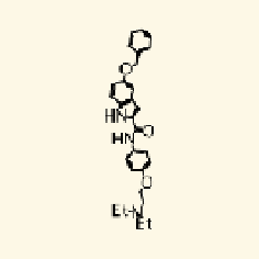 CCN(CC)CCOc1ccc(NC(=O)c2cc3cc(OCc4ccccc4)ccc3[nH]2)cc1